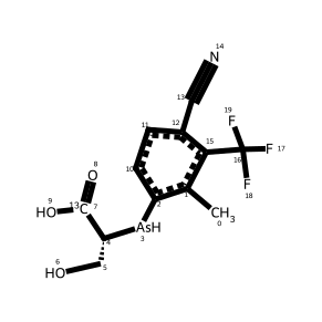 Cc1c([AsH][C@H](CO)[13C](=O)O)ccc(C#N)c1C(F)(F)F